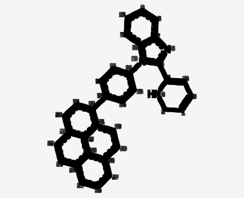 C1=CCNC(c2nc3ccccc3n2-c2ccc(-c3ccc4ccc5cccc6ccc3c4c56)cc2)=C1